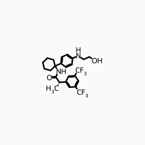 C[C@H](C(=O)NC1(c2ccc(NCCO)cc2)CCCCC1)c1cc(C(F)(F)F)cc(C(F)(F)F)c1